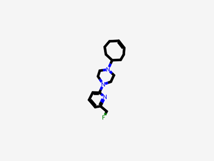 FCc1cccc(N2CCN(C3CC/C=C\CCC3)CC2)n1